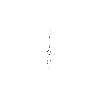 CCC/C=C/[C@H]1CC[C@H](C(=O)Oc2ccc(OC(=O)c3ccc(OCCCCC[C@@H](C)CC)cc3)cc2)CC1